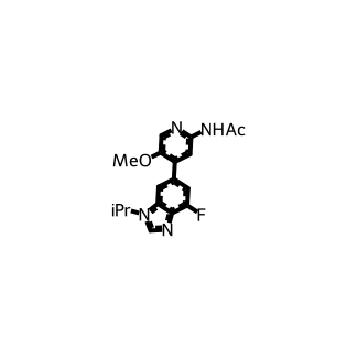 COc1cnc(NC(C)=O)cc1-c1cc(F)c2ncn(C(C)C)c2c1